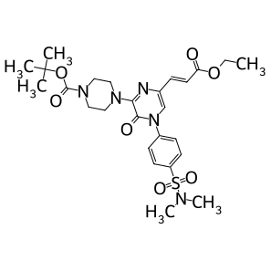 CCOC(=O)/C=C/c1cn(-c2ccc(S(=O)(=O)N(C)C)cc2)c(=O)c(N2CCN(C(=O)OC(C)(C)C)CC2)n1